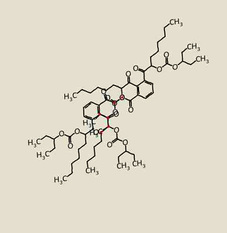 CCCCCCC(OC(=O)OC(CC)CC)C(=O)c1cccc(C(=O)OOC(=O)c2cccc(C(=O)C(CCCCCC)OC(=O)OC(CC)CC)c2C(=O)C(CCCCCC)OC(=O)OC(CC)CC)c1C(=O)C(CCCCCC)OC(=O)OC(CC)CC